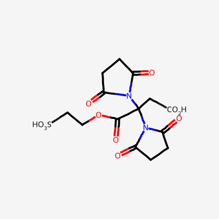 O=C(O)CC(C(=O)OCCS(=O)(=O)O)(N1C(=O)CCC1=O)N1C(=O)CCC1=O